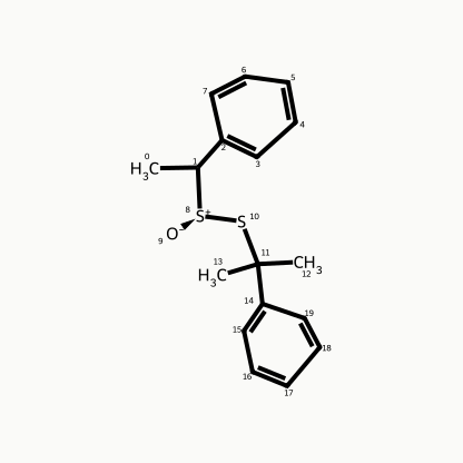 CC(c1ccccc1)[S@+]([O-])SC(C)(C)c1ccccc1